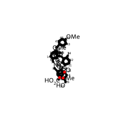 COc1ccc(CN(Cc2ccc(OC)cc2)S(=O)(=O)c2c(S(=O)(=O)C3CC(CO)N(C(=O)O)C3)ccc(I)c2-c2nnn(Cc3ccc(OC)cc3)n2)cc1